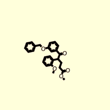 COC(=O)CCC(C(=O)c1cccc(OCc2ccccc2)c1)c1ccccc1OC